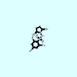 O=C1CCC(=O)N1OS(=O)(=O)c1c(F)cc(F)cc1F